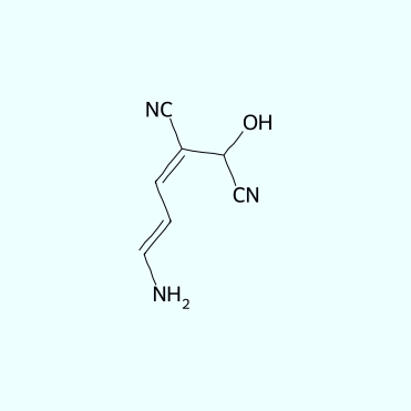 N#CC(=CC=CN)C(O)C#N